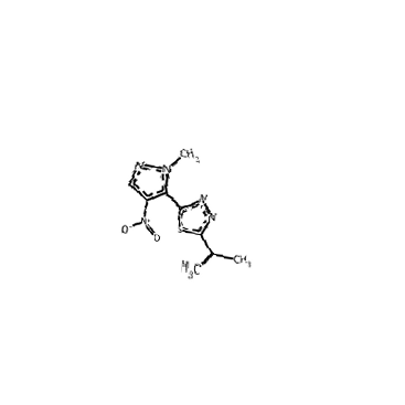 CC(C)c1nnc(-c2c([N+](=O)[O-])cnn2C)s1